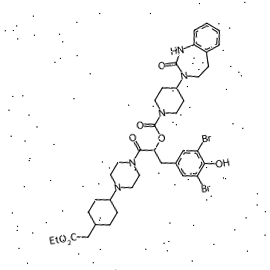 CCOC(=O)CC1CCC(N2CCN(C(=O)C(Cc3cc(Br)c(O)c(Br)c3)OC(=O)N3CCC(N4CCc5ccccc5NC4=O)CC3)CC2)CC1